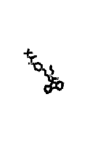 CCCNC(=O)C1(CCCCN2CCC(NC(=O)OC(C)(C)C)CC2)c2ccccc2-c2ccccc21